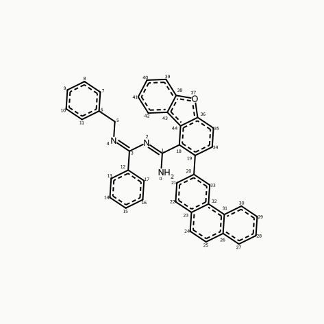 N/C(=N\C(=N/Cc1ccccc1)c1ccccc1)c1c(-c2ccc3ccc4ccccc4c3c2)ccc2oc3ccccc3c12